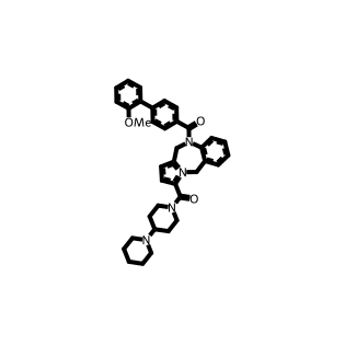 COc1ccccc1-c1ccc(C(=O)N2Cc3ccc(C(=O)N4CCC(N5CCCCC5)CC4)n3Cc3ccccc32)cc1